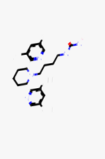 Cc1cnc([C@H]2CCC[C@@H](c3ncc(C)cc3C)N2CCCCNC(=O)NO)c(C)c1